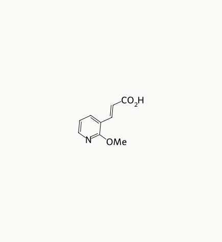 COc1ncccc1C=CC(=O)O